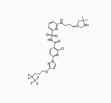 CC1(C)C[C@H](CCCNc2cccc(S(=O)(=O)NC(=O)c3ccc(-n4ccc(OCCCC5(C(F)(F)F)CC5)n4)nc3Cl)n2)CN1